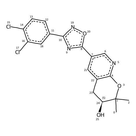 CC1(C)Oc2ncc(-c3nc(-c4ccc(Cl)c(Cl)c4)no3)cc2C[C@@H]1O